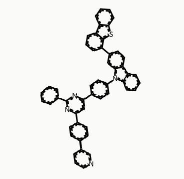 c1ccc(-c2nc(-c3ccc(-c4cccnc4)cc3)cc(-c3ccc(-n4c5ccccc5c5ccc(-c6cccc7c6sc6ccccc67)cc54)cc3)n2)cc1